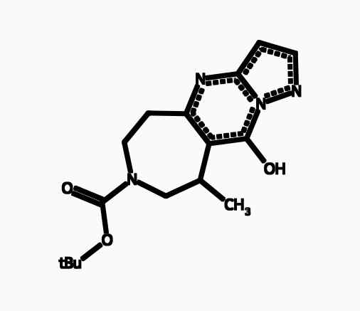 CC1CN(C(=O)OC(C)(C)C)CCc2nc3ccnn3c(O)c21